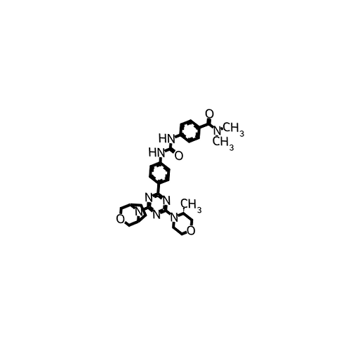 C[C@@H]1COCCN1c1nc(-c2ccc(NC(=O)Nc3ccc(C(=O)N(C)C)cc3)cc2)nc(N2C3CCC2COC3)n1